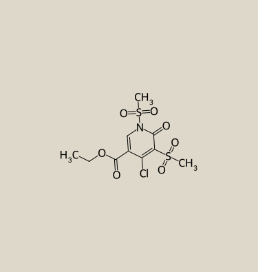 CCOC(=O)c1cn(S(C)(=O)=O)c(=O)c(S(C)(=O)=O)c1Cl